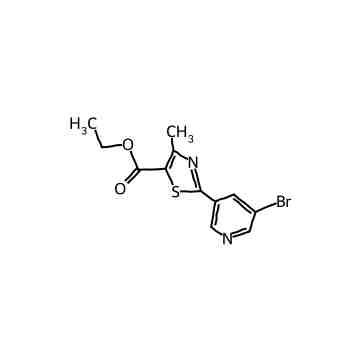 CCOC(=O)c1sc(-c2cncc(Br)c2)nc1C